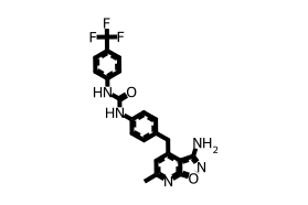 Cc1cc(Cc2ccc(NC(=O)Nc3ccc(C(F)(F)F)cc3)cc2)c2c(N)noc2n1